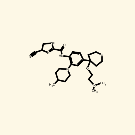 CC1CCN(c2cc(C3(OCCN(C)C)CCOCC3)ccc2NC(=O)C2=NC(C#N)CN2)CC1